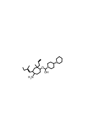 C=CCC1(C)CC(/C=C(\C)CC)C(N)CCC1OC(O)N1CCC(N2CCCCC2)CC1